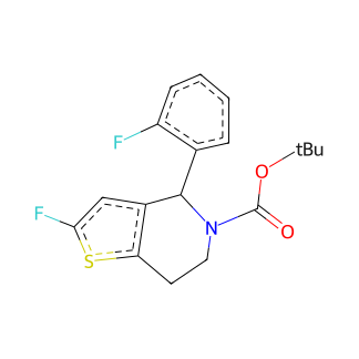 CC(C)(C)OC(=O)N1CCc2sc(F)cc2C1c1ccccc1F